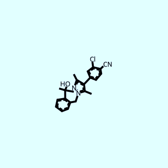 Cc1nn(Cc2ccccc2C(C)(C)O)c(C)c1-c1ccc(C#N)c(Cl)c1